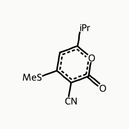 CSc1cc(C(C)C)oc(=O)c1C#N